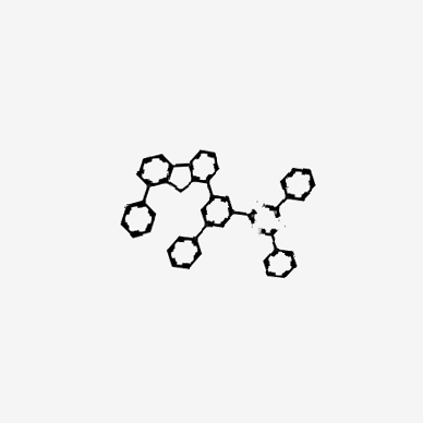 c1ccc(-c2cc(-c3nc(-c4ccccc4)nc(-c4ccccc4)n3)cc(-c3cccc4c3Cc3c(-c5ccccc5)cccc3-4)c2)cc1